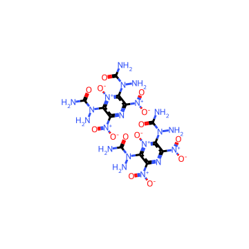 NC(=O)N(N)c1c([N+](=O)[O-])nc([N+](=O)[O-])c(N(N)C(N)=O)[n+]1[O-].NC(=O)N(N)c1c([N+](=O)[O-])nc([N+](=O)[O-])c(N(N)C(N)=O)[n+]1[O-]